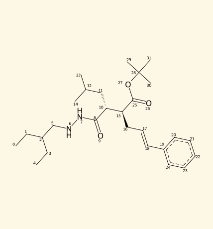 CCC(CC)CNNC(=O)[C@H](CC(C)C)[C@H](CC=Cc1ccccc1)C(=O)OC(C)(C)C